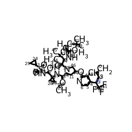 C=C/C=C(\c1ccnc(O[C@@H]2C[C@@H](C(=O)N[C@]3(C(=O)NS(=O)(=O)C4CC4)C[C@H]3CC)N(C(=O)[C@@H](NC(=O)OC(C)(C)C)C(C)(C)C)C2)c1C)C(F)(F)F